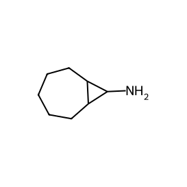 NC1C2CCCCCC12